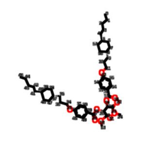 CCCCC[C@H]1CC[C@H](CCCOc2ccc(C(=O)O[C@@H](C(=O)OC)[C@@H](OC(=O)c3ccc(OCCC[C@H]4CC[C@H](CCCCC)CC4)cc3)C(=O)OC)cc2)CC1